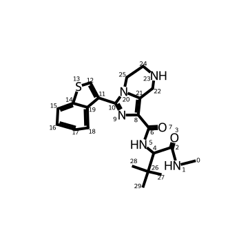 CNC(=O)C(NC(=O)c1nc(-c2csc3ccccc23)n2c1CNCC2)C(C)(C)C